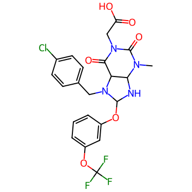 CN1C(=O)N(CC(=O)O)C(=O)C2C1NC(Oc1cccc(OC(F)(F)F)c1)N2Cc1ccc(Cl)cc1